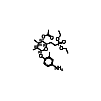 CCOP(=O)(CC[C@H]1O[C@H](Oc2ccc(N)cc2C)[C@@H](C)[C@@H](C)[C@@H]1OC(C)=O)OCC